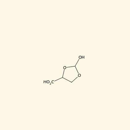 O=C(O)C1COC(O)O1